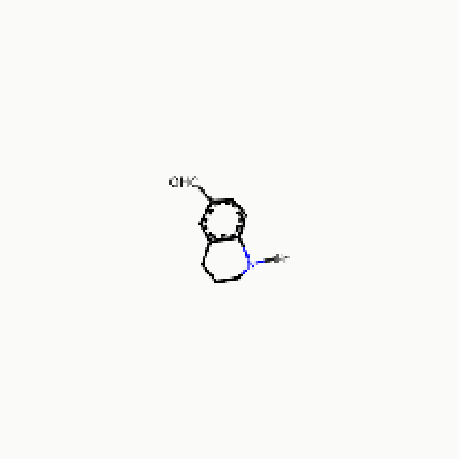 CC(C)N1CCCc2cc(C=O)ccc21